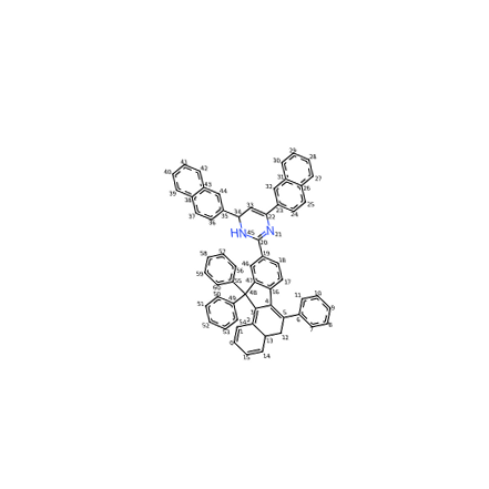 C1=CC2=C3C(=C(c4ccccc4)CC2C=C1)c1ccc(C2=NC(c4ccc5ccccc5c4)=CC(c4ccc5ccccc5c4)N2)cc1C3(c1ccccc1)c1ccccc1